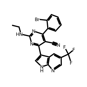 CCNc1nc(-c2ccccc2Br)c(C#N)c(-c2c[nH]c3ncc(C(F)(F)F)cc23)n1